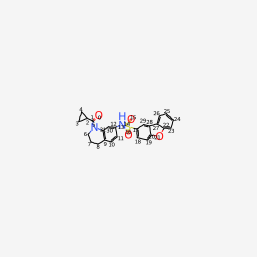 O=C(C1CC1)N1CCCc2ccc(NS(=O)(=O)c3ccc4oc5ccccc5c4c3)cc21